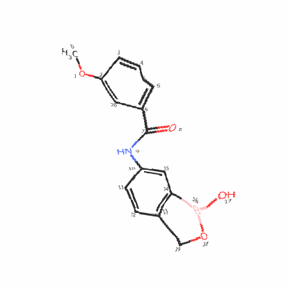 COc1cccc(C(=O)Nc2ccc3c(c2)B(O)OC3)c1